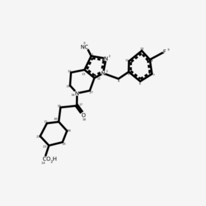 N#Cc1nn(Cc2ccc(F)cc2)c2c1CCN(C(=O)CC1CCC(C(=O)O)CC1)C2